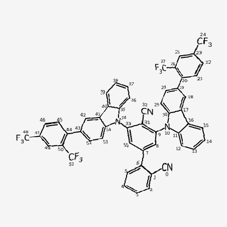 N#Cc1ccccc1-c1cc(-n2c3ccccc3c3cc(-c4ccc(C(F)(F)F)cc4C(F)(F)F)ccc32)c(C#N)c(-n2c3ccccc3c3cc(-c4ccc(C(F)(F)F)cc4C(F)(F)F)ccc32)c1